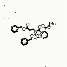 CC(C)(C)OC(=O)[C@@H]1CC[CH2][Zn][N]1C(=O)N(CCC(=O)OCc1ccccc1)NOCc1ccccc1